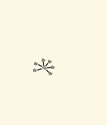 [Br][Yb]([Br])([Br])([Br])([Br])[Br]